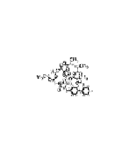 CCOC(=O)CNC(=O)C(Cc1ccc(-c2ccccc2)cc1)NCP(=O)(OC(OC(=O)CC)C(C)C)OC(OC(=O)CC)C(C)C